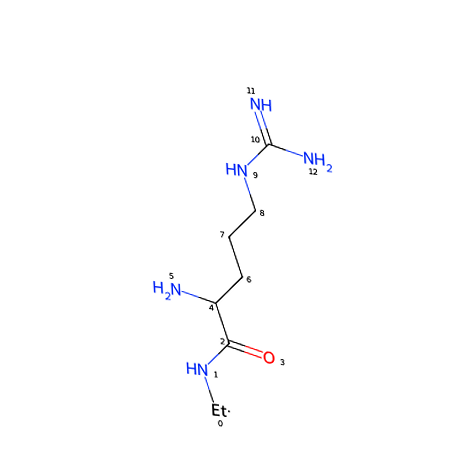 C[CH]NC(=O)C(N)CCCNC(=N)N